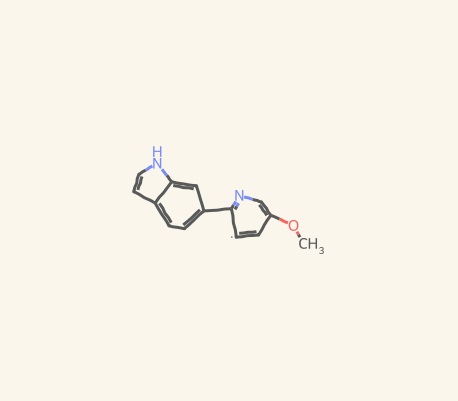 COc1c[c]c(-c2ccc3cc[nH]c3c2)nc1